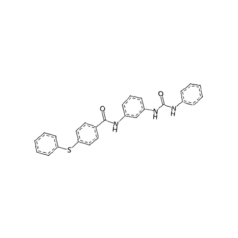 O=C(Nc1ccccc1)Nc1cccc(NC(=O)c2ccc(Sc3ccccc3)cc2)c1